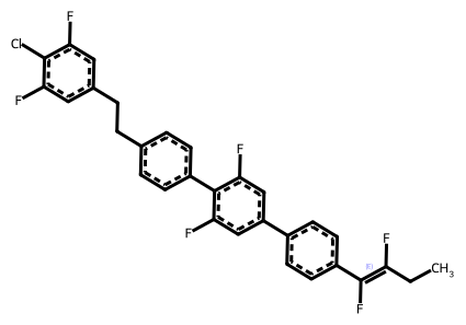 CC/C(F)=C(\F)c1ccc(-c2cc(F)c(-c3ccc(CCc4cc(F)c(Cl)c(F)c4)cc3)c(F)c2)cc1